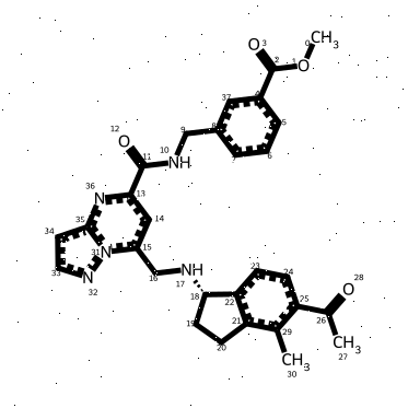 COC(=O)c1cccc(CNC(=O)c2cc(CN[C@H]3CCc4c3ccc(C(C)=O)c4C)n3nccc3n2)c1